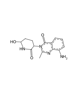 Cc1nc2c(N)cccc2c(=O)n1C1CCC(O)NC1=O